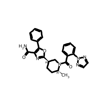 C[C@@H]1CC[C@@H](c2nc(C(N)=O)c(-c3ccccc3)o2)CN1C(=O)c1ccccc1-n1nccn1